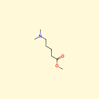 COC(=O)CCCCN(C)C